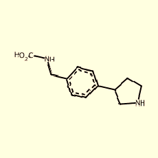 O=C(O)NCc1ccc(C2CCNC2)cc1